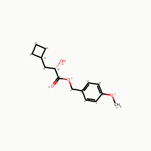 COc1ccc(COC(=O)[C@@H](O)CC2CCC2)cc1